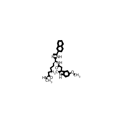 CNC(=O)CCCCC[C@H](NC(=O)Cc1c(C)[nH]c2ccc(OC)cc12)c1ncc(-c2ccc3ccccc3c2)[nH]1